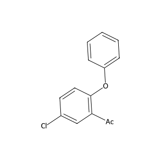 CC(=O)c1cc(Cl)ccc1Oc1ccccc1